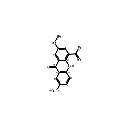 CCC(=O)c1cc(OC(C)C)cc2c(=O)c3cc(C(=O)O)ccc3oc12